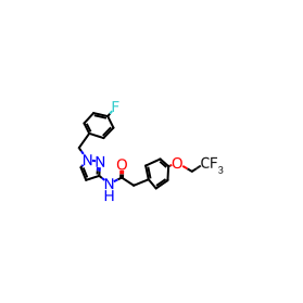 O=C(Cc1ccc(OCC(F)(F)F)cc1)Nc1ccn(Cc2ccc(F)cc2)n1